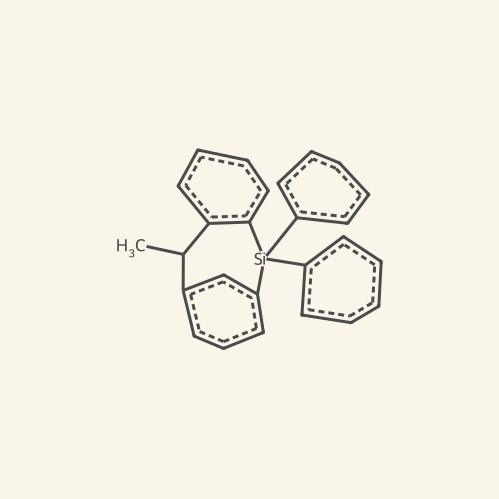 CC1c2cccc(c2)[Si](c2ccccc2)(c2ccccc2)c2ccccc21